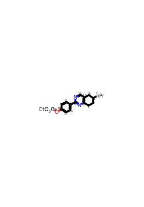 CCCC1CCc2nc(-c3ccc(OC(=O)OCC)cc3)ncc2C1